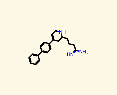 N=C(N)CCCC1CC(c2ccc(-c3ccccc3)cc2)=CCN1